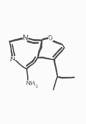 CC(C)c1coc2ncnc(N)c12